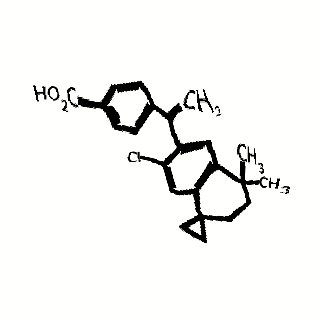 C=C(c1ccc(C(=O)O)cc1)c1cc2c(cc1Cl)C1(CCC2(C)C)CC1